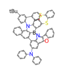 CC(C)(C)c1ccc(N2c3cc4c(cc3B3c5c(cc6ccccc6c52)-c2cc(N(c5ccccc5)c5ccccc5)cc5c6oc7ccccc7c6n3c25)Sc2ccccc2S4)c(-c2ccccc2)c1